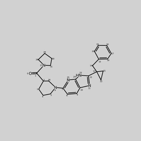 O=C(C1CCCN(c2ccc3nc(C4(Cc5ccccc5)CC4)[nH]c3n2)C1)N1CCCC1